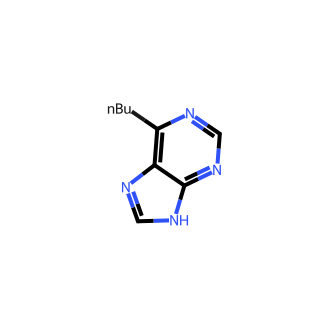 CCCCc1ncnc2[nH]cnc12